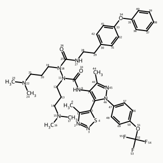 Cc1nnsc1-c1c(NC(=O)N(CCCN(C)C)N(CCCN(C)C)C(=O)NCCc2ccc(Oc3ccccc3)cc2)c(C)nn1-c1ccc(OC(F)(F)F)cc1